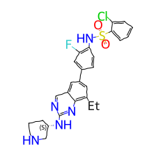 CCc1cc(-c2ccc(NS(=O)(=O)c3ccccc3Cl)c(F)c2)cc2cnc(N[C@H]3CCCNC3)nc12